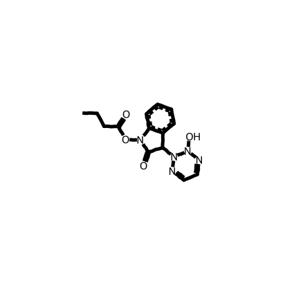 CCCC(=O)ON1C(=O)C(N2N=CC=NN2O)c2ccccc21